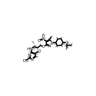 Cc1c([N+](=O)[O-])c(OCC[C@@H](C)Nc2nc(Cl)ncc2Cl)nn1C1CCC(OC(F)F)CC1